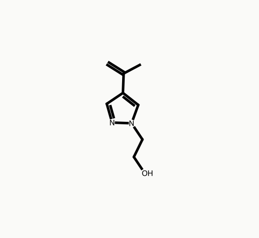 C=C(C)c1cnn(CCO)c1